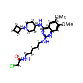 COc1cc2nc(NCCCCCNC(=O)CCl)nc(NC3CCN(C4CCC4)CC3)c2cc1OC